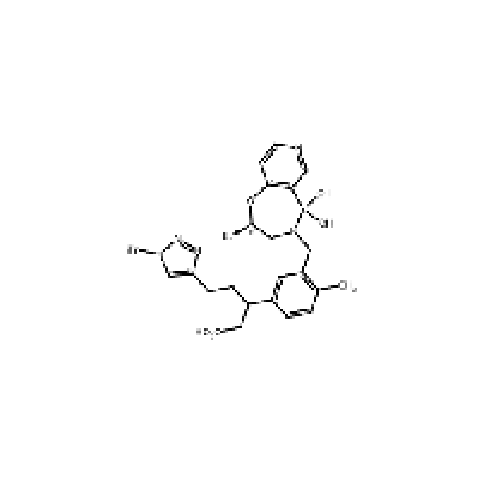 CC[C@@H]1CN(Cc2cc(C(CCc3cn(C(C)C)nn3)CC(=O)O)ccc2C)S(O)(O)c2cnccc2O1